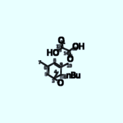 CCCCC12OC1(C)C=C(C)C=C2C.O=C(O)C(=O)O